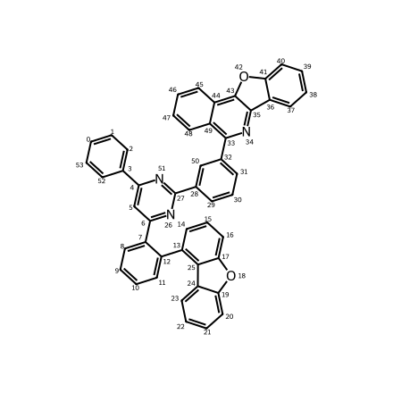 c1ccc(-c2cc(-c3ccccc3-c3cccc4oc5ccccc5c34)nc(-c3cccc(-c4nc5c6ccccc6oc5c5ccccc45)c3)n2)cc1